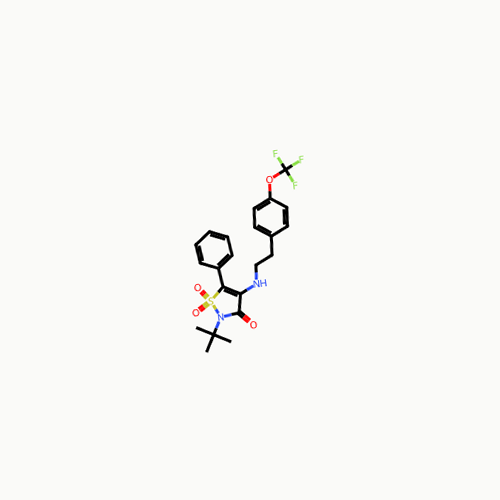 CC(C)(C)N1C(=O)C(NCCc2ccc(OC(F)(F)F)cc2)=C(c2ccccc2)S1(=O)=O